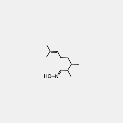 CC(C)=CCCC(C)C(C)C=NO